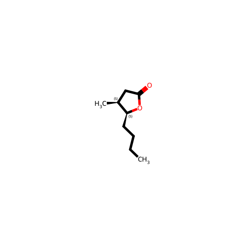 CCCC[C@@H]1OC(=O)C[C@@H]1C